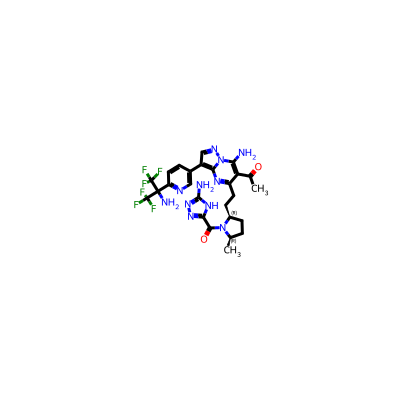 CC(=O)c1c(CC[C@H]2CC[C@@H](C)N2C(=O)c2nnc(N)[nH]2)nc2c(-c3ccc(C(N)(C(F)(F)F)C(F)(F)F)nc3)cnn2c1N